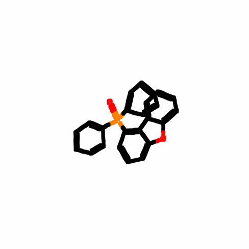 O=P(c1ccccc1)(c1ccccc1)c1cccc2oc3ccccc3c12